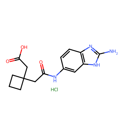 Cl.Nc1nc2ccc(NC(=O)CC3(CC(=O)O)CCC3)cc2[nH]1